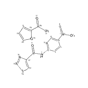 O=C(Nc1ccc([N+](=O)[O-])cn1)c1csnn1.O=C(O)c1ccco1